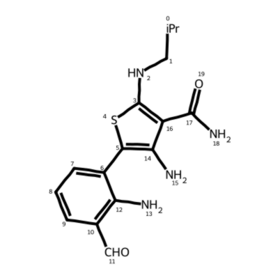 CC(C)CNc1sc(-c2cccc(C=O)c2N)c(N)c1C(N)=O